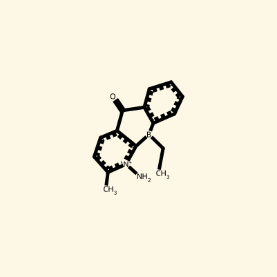 CCB1c2ccccc2C(=O)c2ccc(C)[n+](N)c21